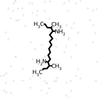 CCCC(C)C(N)CCCCCCCCC(N)C(C)CCC